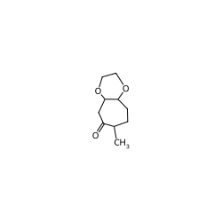 CC1CCC2OCCOC2CC1=O